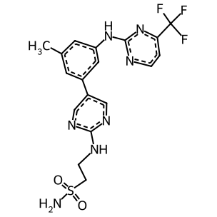 Cc1cc(Nc2nccc(C(F)(F)F)n2)cc(-c2cnc(NCCS(N)(=O)=O)nc2)c1